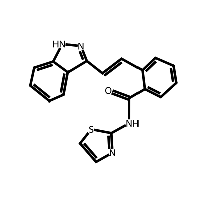 O=C(Nc1nccs1)c1ccccc1C=Cc1n[nH]c2ccccc12